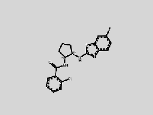 O=C(N[C@H]1CCC[C@H]1Nc1nc2ccc(F)cc2s1)c1ccccc1Cl